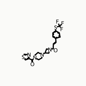 O=C(/C=C/c1ccc(SC(F)(F)F)cc1)N1CC(N2CCN(C(=O)c3cscn3)CC2)C1